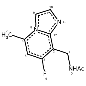 CC(=O)NCc1c(F)cc(C)n2ccnc12